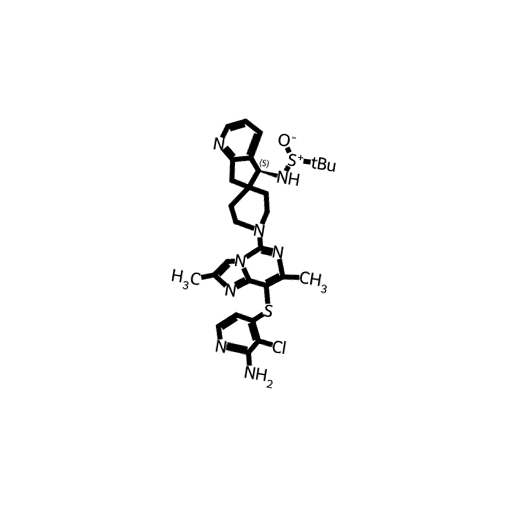 Cc1cn2c(N3CCC4(CC3)Cc3ncccc3[C@H]4N[S+]([O-])C(C)(C)C)nc(C)c(Sc3ccnc(N)c3Cl)c2n1